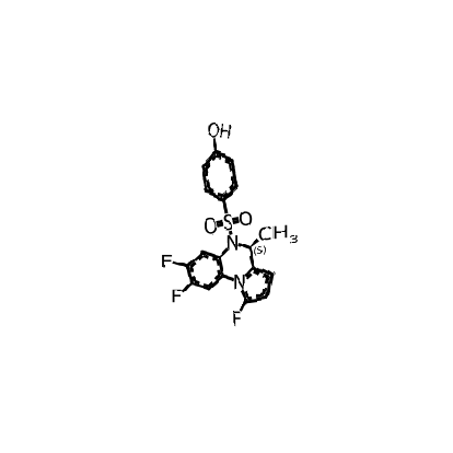 C[C@H]1c2ccc(F)n2-c2cc(F)c(F)cc2N1S(=O)(=O)c1ccc(O)cc1